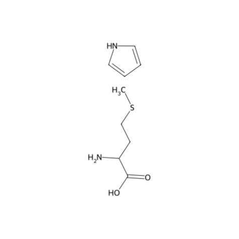 CSCCC(N)C(=O)O.c1cc[nH]c1